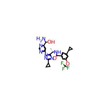 C[C@H](NC(=O)c1cc(OC(F)(F)F)cc(C2CC2)c1)c1nc(C2CC2)nn1-c1cc(C(N)O)ncn1